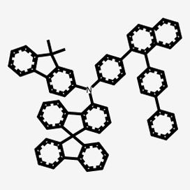 CC1(C)c2ccccc2-c2ccc(N(c3ccc(-c4ccc5ccccc5c4-c4ccc(-c5ccccc5)cc4)cc3)c3cccc4c3-c3ccccc3C43c4ccccc4-c4ccccc43)cc21